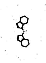 C1=C[CH]([Hf][CH]2C=CC3=C2CCCC3)C2=C1CCCC2